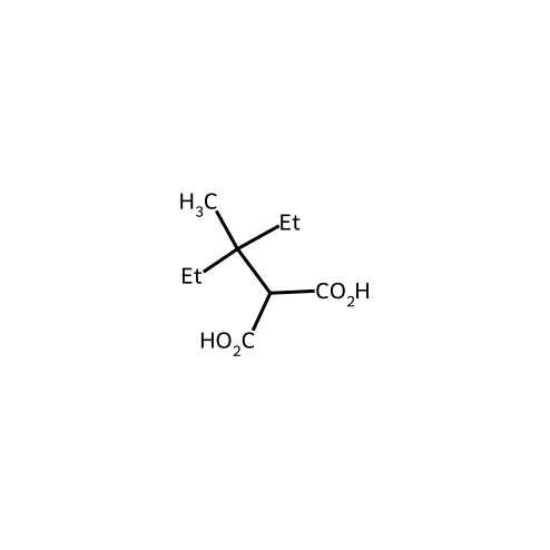 CCC(C)(CC)C(C(=O)O)C(=O)O